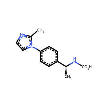 Cc1nccn1-c1ccc([C@H](C)NC(=O)O)cc1